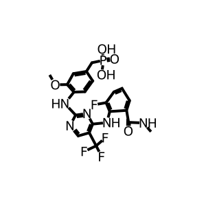 CNC(=O)c1cccc(F)c1Nc1nc(Nc2ccc(CP(=O)(O)O)cc2OC)ncc1C(F)(F)F